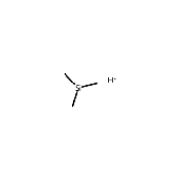 C[Si](C)C.[H+]